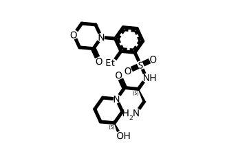 CCc1c(N2CCOCC2=O)cccc1S(=O)(=O)N[C@@H](CN)C(=O)N1CCC[C@H](O)C1